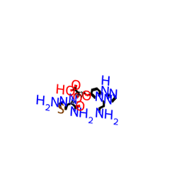 NCCCn1ccnc1Nc1ccc(OC[C@H](O/N=C(\C(N)=O)c2csc(N)n2)C(=O)O)cn1